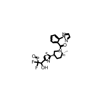 C[C@@H]1CC[C@@H](c2nc(C(O)C(F)(F)P=O)cs2)CN1C(=O)c1ccccc1-n1nccn1